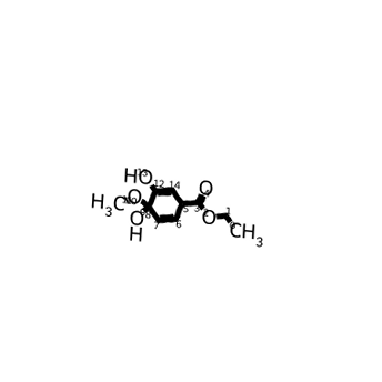 CCOC(=O)C1C=CC(O)(OC)C(O)=C1